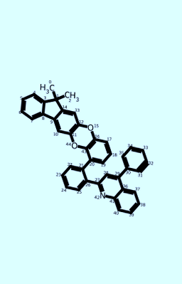 CC1(C)c2ccccc2-c2cc3c(cc21)Oc1cccc(-c2ccccc2-c2cc(-c4c#cccc4)c4ccccc4n2)c1O3